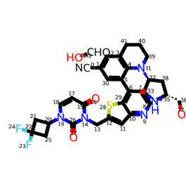 N#Cc1cc2c(c(-c3ccnc4cc(Cn5c(=O)ccn(C6CC(F)(F)C6)c5=O)sc34)c1)N([C@@H]1CN[C@@H](CO)C1)CCC2.O=CO